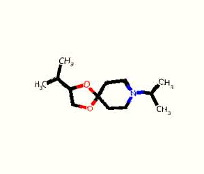 CC(C)C1COC2(CCN(C(C)C)CC2)O1